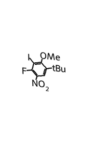 COc1c(C(C)(C)C)cc([N+](=O)[O-])c(F)c1I